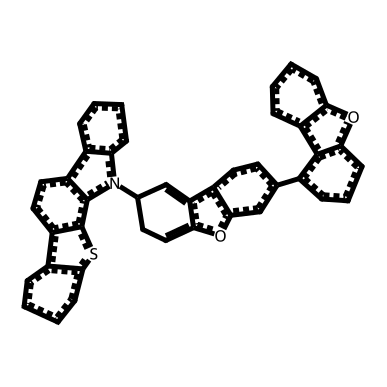 C1=c2oc3cc(-c4cccc5oc6ccccc6c45)ccc3c2=CC(n2c3ccccc3c3ccc4c5ccccc5sc4c32)C1